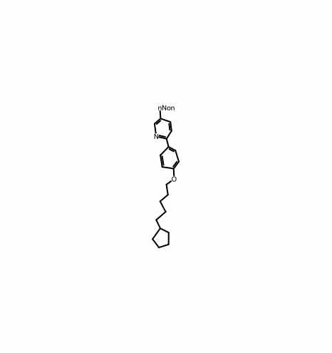 CCCCCCCCCc1ccc(-c2ccc(OCCCCCC3CCCC3)cc2)nc1